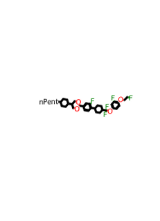 CCCCCC1CCC(C2COC(c3ccc(C4CCC(C(F)(F)Oc5ccc(OCCF)c(F)c5)CC4)c(F)c3)OC2)CC1